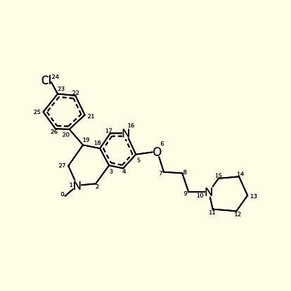 CN1Cc2cc(OCCCN3CCCCC3)ncc2C(c2ccc(Cl)cc2)C1